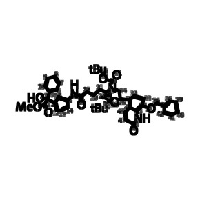 COC(=O)C(O)(c1ccccc1)c1cccc(NC(=O)CCCCN(CC(O[Si](C)(C)C(C)(C)C)c2ccc(OCc3ccccc3)c3[nH]c(=O)ccc23)C(=O)OC(C)(C)C)c1